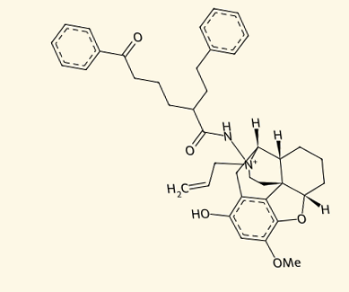 C=CC[N+]1(NC(=O)C(CCCC(=O)c2ccccc2)CCc2ccccc2)CC[C@]23c4c5c(O)cc(OC)c4O[C@H]2CCC[C@H]3[C@H]1C5